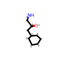 [NH]CC(=O)CC1CCCCC1